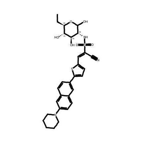 CC[C@H]1OC(O)[C@H](NS(=O)(=O)/C(C#N)=C/c2ccc(-c3ccc4cc(N5CCCCC5)ccc4c3)s2)[C@@H](O)[C@@H]1O